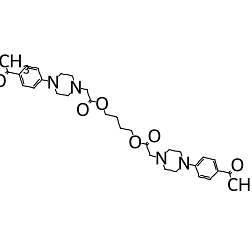 CC(=O)c1ccc(N2CCN(CC(=O)OCCCCOC(=O)CN3CCN(c4ccc(C(C)=O)cc4)CC3)CC2)cc1